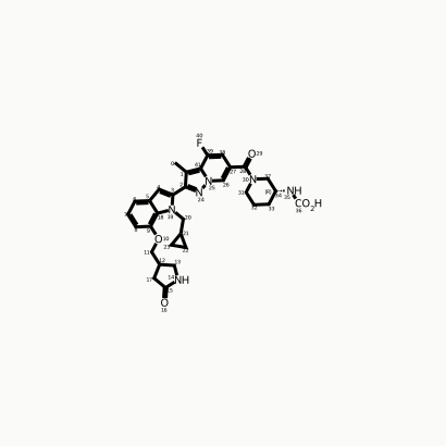 Cc1c(-c2cc3cccc(OCC4CNC(=O)C4)c3n2CC2CC2)nn2cc(C(=O)N3CCC[C@@H](NC(=O)O)C3)cc(F)c12